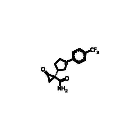 NC(=O)[C@@]1(C2CCN(c3ccc(C(F)(F)F)cc3)C2)CC1=O